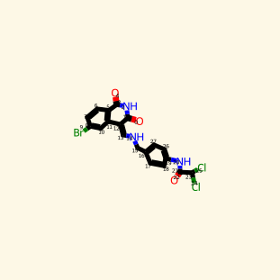 O=C1NC(=O)c2ccc(Br)cc2/C1=C/NCc1ccc(NC(=O)C(Cl)Cl)cc1